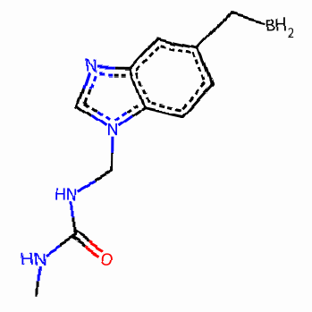 BCc1ccc2c(c1)ncn2CNC(=O)NC